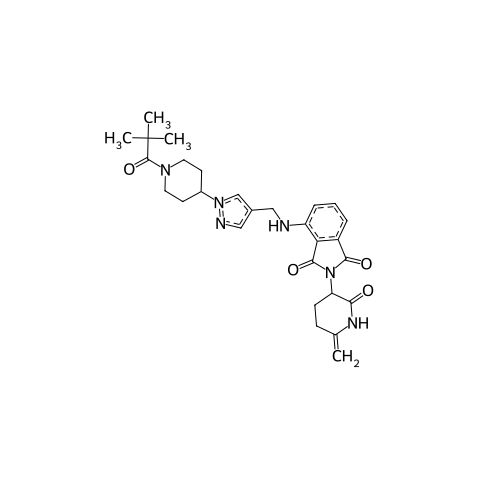 C=C1CCC(N2C(=O)c3cccc(NCc4cnn(C5CCN(C(=O)C(C)(C)C)CC5)c4)c3C2=O)C(=O)N1